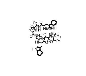 CCCCN(C(=O)C(NC(=O)[C@H](Cc1c[nH]c2ccccc12)NC(=O)CNC(=O)[C@H](CC(=O)O)NC(=O)C(NC(=O)[C@H](Cc1c[nH]c2ccccc12)NC)C(C)C)C(C)C)[C@@H](C)C(=O)C(C)C